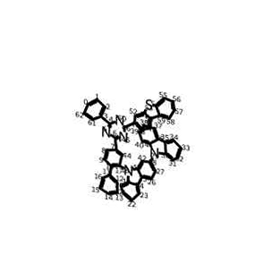 c1ccc(-c2nc(-c3ccc(-c4ccccc4)c(-n4c5ccccc5c5ccc(-n6c7ccccc7c7ccccc76)cc54)c3)nc(-c3ccc4c(c3)sc3ccccc34)n2)cc1